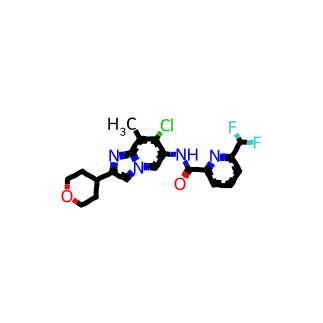 Cc1c(Cl)c(NC(=O)c2cccc(C(F)F)n2)cn2cc(C3CCOCC3)nc12